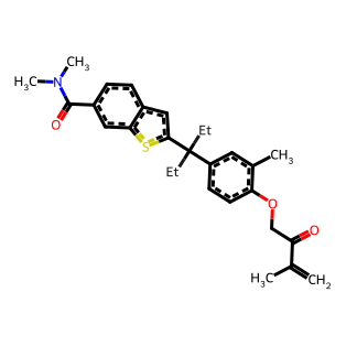 C=C(C)C(=O)COc1ccc(C(CC)(CC)c2cc3ccc(C(=O)N(C)C)cc3s2)cc1C